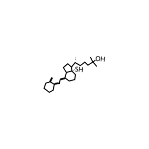 C=C1CCCC/C1=C/C=C1\CCC[C@@]2(S)C1CCC2[C@H](C)CCCC(C)(C)O